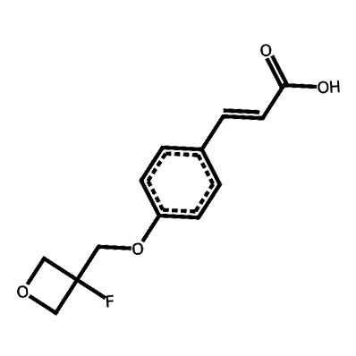 O=C(O)/C=C/c1ccc(OCC2(F)COC2)cc1